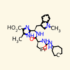 Cc1[nH]c([C@@H](Cc2cn(C)c3ccccc23)NC(=O)[C@H](CC(C)C)NC(=O)NC2CCCCCC2)nc1C(=O)O